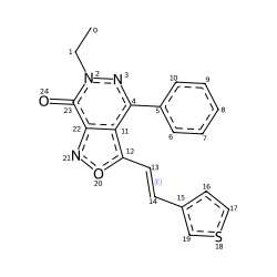 CCn1nc(-c2ccccc2)c2c(/C=C/c3ccsc3)onc2c1=O